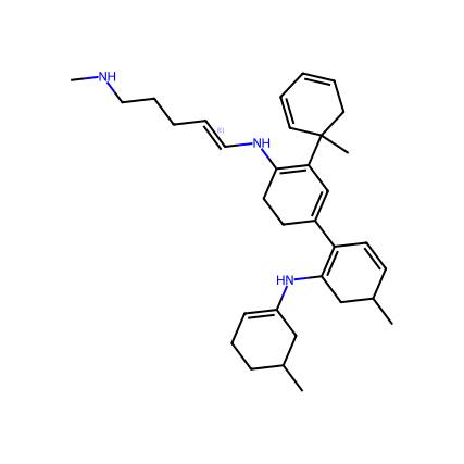 CNCCC/C=C/NC1=C(C2(C)C=CC=CC2)C=C(C2=C(NC3=CCCC(C)C3)CC(C)C=C2)CC1